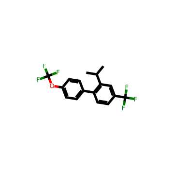 CC(C)c1cc(C(F)(F)F)ccc1-c1ccc(OC(F)(F)F)cc1